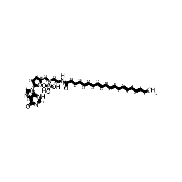 CCC=CCC=CCC=CCC=CCC=CCCCC(=O)NCCN(C[C@@H]1CC[C@H](n2cnc3c(=O)nc[nH]c32)O1)P(=O)(O)O